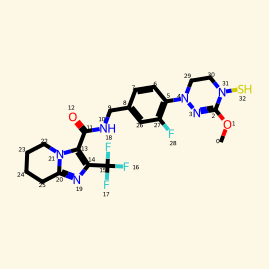 COC1=NN(c2ccc(CNC(=O)c3c(C(F)(F)F)nc4n3CCCC4)cc2F)CCN1S